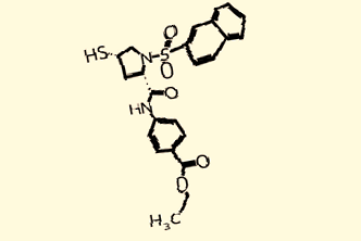 CCOC(=O)c1ccc(NC(=O)[C@@H]2C[C@H](S)CN2S(=O)(=O)c2ccc3ccccc3c2)cc1